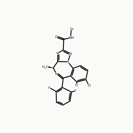 CCNC(=O)c1nc2n(n1)-c1ccc(Cl)c(Cl)c1C(c1c(F)cccc1F)=N[C@H]2C